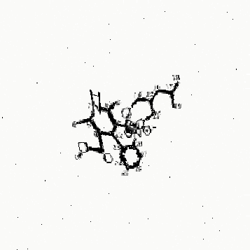 COC(=O)C1=C(C)NC(C)=C(P2(=O)OCC(CC(C)C)CO2)C1c1ccccc1[N+](=O)[O-]